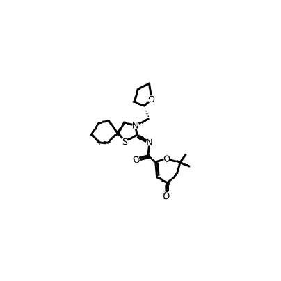 CC1(C)CC(=O)C=C(C(=O)/N=C2\SC3(CCCCC3)CN2C[C@@H]2CCCO2)O1